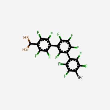 CC(C)c1c(F)c(F)c(-c2c(F)c(F)c(F)c(-c3c(F)c(F)c(C(S)S)c(F)c3F)c2F)c(F)c1F